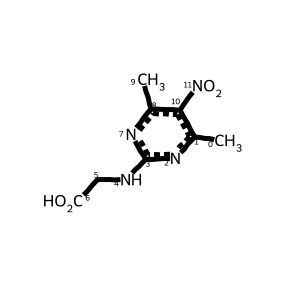 Cc1nc(NCC(=O)O)nc(C)c1[N+](=O)[O-]